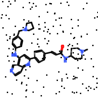 CN1CCC(NC(=O)/C=C/c2ccc(-c3cc(Nc4ccc(CN5CCCC5)cc4)c4cnccc4n3)cc2)CC1